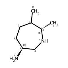 CC1CC[C@H](N)CN[C@H]1C